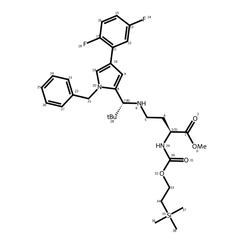 COC(=O)[C@H](CCN[C@@H](c1cc(-c2cc(F)ccc2F)cn1Cc1ccccc1)C(C)(C)C)NC(=O)OCC[Si](C)(C)C